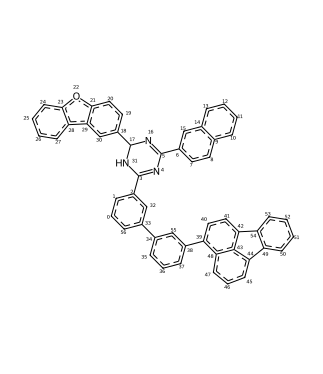 c1cc(C2=NC(c3ccc4ccccc4c3)=NC(c3ccc4oc5ccccc5c4c3)N2)cc(-c2cccc(-c3ccc4c5c(cccc35)-c3ccccc3-4)c2)c1